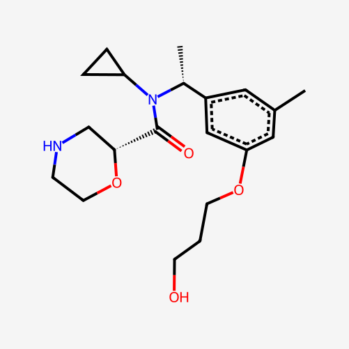 Cc1cc(OCCCO)cc([C@@H](C)N(C(=O)[C@H]2CNCCO2)C2CC2)c1